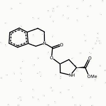 COC(=O)[C@@H]1CC(OC(=O)N2CCc3ccccc3C2)CN1